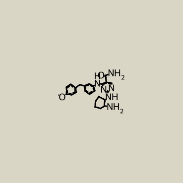 COc1ccc(Cc2cccc(Nc3nc(NC4CCCCC4N)ncc3C(N)=O)c2)cc1